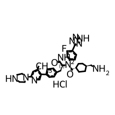 Cc1cc(N2CCNCC2)ncc1-c1ccc(C[C@@H](C(N)=O)N(c2ccc(-c3nn[nH]n3)c(F)c2)C(=O)[C@H]2CC[C@H](CN)CC2)cc1.Cl